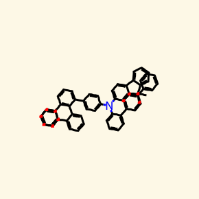 CC1(C)c2ccccc2-c2ccc(N(c3ccc(-c4cccc(-c5ccccc5)c4-c4ccccc4-c4ccccc4)cc3)c3ccccc3-c3ccc(-c4ccccc4)cc3)cc21